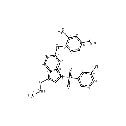 CNCc1cn(S(=O)(=O)c2cccc(Cl)c2)c2cc(Nc3ccc(C)cc3C)ccc12